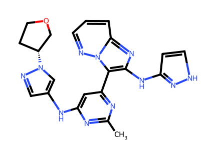 Cc1nc(Nc2cnn([C@@H]3CCOC3)c2)cc(-c2c(Nc3cc[nH]n3)nc3cccnn23)n1